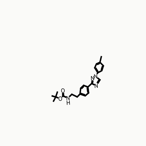 Cc1ccc(-n2cnc(-c3ccc(CCNC(=O)OC(C)(C)C)cc3)n2)cc1